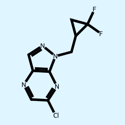 FC1(F)CC1Cn1ncc2ncc(Cl)nc21